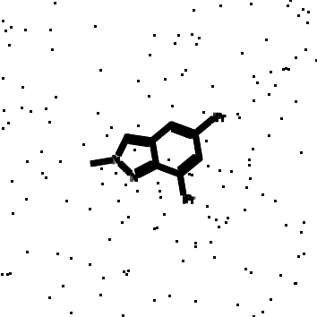 CC(C)c1cc(C(C)C)c2nn(C)cc2c1